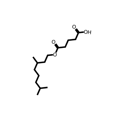 CC(C)CCCC(C)CCOC(=O)CCCC(=O)O